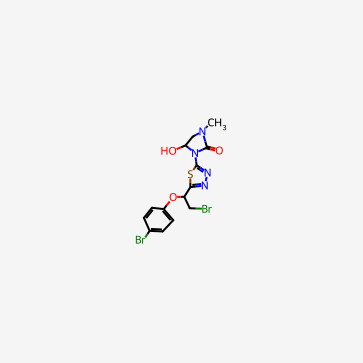 CN1CC(O)N(c2nnc(C(CBr)Oc3ccc(Br)cc3)s2)C1=O